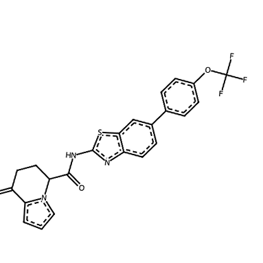 O=C1CCC(C(=O)Nc2nc3ccc(-c4ccc(OC(F)(F)F)cc4)cc3s2)n2cccc21